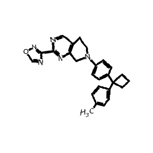 Cc1ccc(C2(c3ccc(N4CCc5cnc(-c6ncon6)nc5C4)cc3)CCC2)cc1